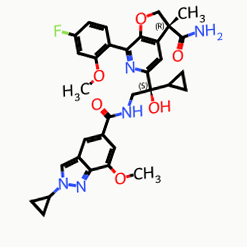 COc1cc(F)ccc1-c1nc([C@@](O)(CNC(=O)c2cc(OC)c3nn(C4CC4)cc3c2)C2CC2)cc2c1OC[C@]2(C)C(N)=O